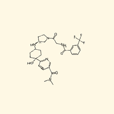 CN(C)C(=O)c1ccc(C2(O)CCC(N[C@H]3CCN(C(=O)CNC(=O)c4cccc(C(F)(F)F)c4)C3)CC2)nc1